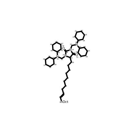 CCCCCCCCC=CCCCCCCCCC1C(=O)N(CN(C2CCCCC2)C2CCCCC2)C(=O)N1CN(C1CCCCC1)C1CCCCC1